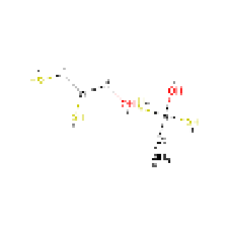 CCC(O)(S)S.OCC(S)CS.[BiH3]